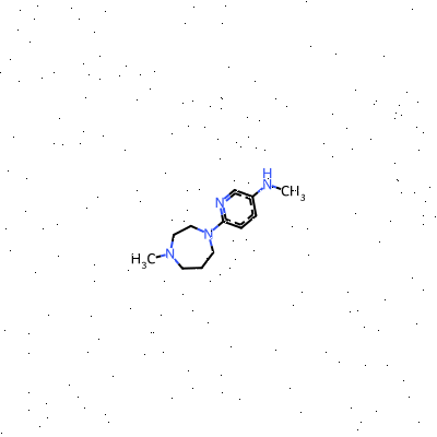 CNc1ccc(N2CCCN(C)CC2)nc1